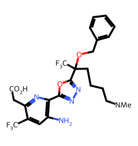 CNCCCCC(OCc1ccccc1)(c1nnc(-c2nc(CC(=O)O)c(C(F)(F)F)cc2N)o1)C(F)(F)F